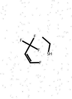 CCS.F/C=C\C(F)(F)F